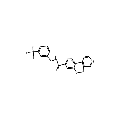 O=C(NCc1cccc(C(F)(F)F)c1)c1ccc2c(c1)OCc1cnccc1-2